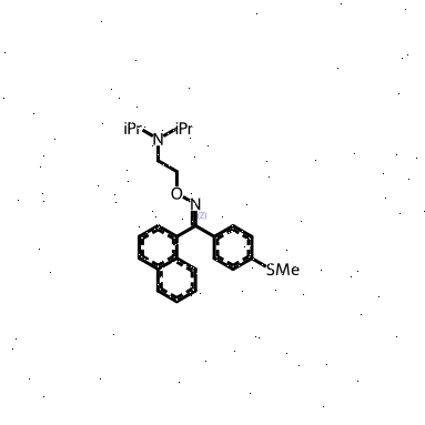 CSc1ccc(/C(=N/OCCN(C(C)C)C(C)C)c2cccc3ccccc23)cc1